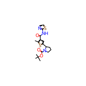 Cc1sc(C2CCCN2C(=O)OC(C)(C)C)cc1C(=O)Nc1nccs1